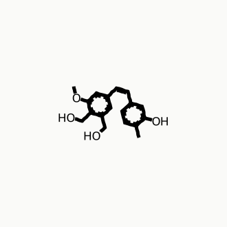 COc1cc(/C=C\c2ccc(C)c(O)c2)cc(CO)c1CO